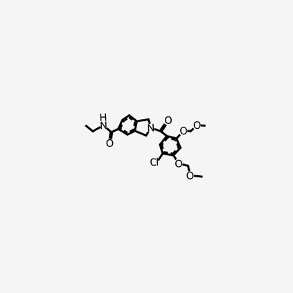 CCNC(=O)c1ccc2c(c1)CN(C(=O)c1cc(Cl)c(OCOC)cc1OCOC)C2